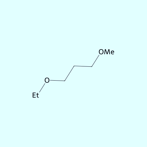 [CH2]OCCCOCC